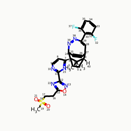 CC1(C)[C@H]2CC[C@]1(c1ccnc(-c3noc(CCS(C)(=O)=O)n3)n1)C1C#CC2/C=C(c2c(F)cccc2F)\N=N/1